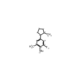 Cc1cc(C2CCCC2C)cc(F)c1C(C)(C)C